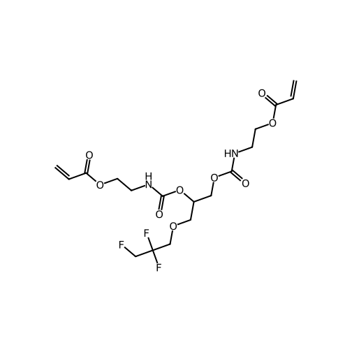 C=CC(=O)OCCNC(=O)OCC(COCC(F)(F)CF)OC(=O)NCCOC(=O)C=C